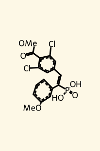 COC(=O)c1c(Cl)cc(/C=C(\c2cccc(OC)c2)P(=O)(O)O)cc1Cl